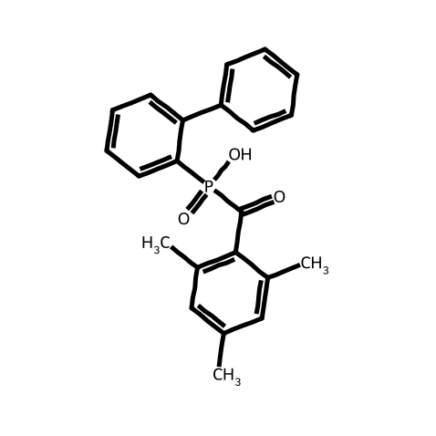 Cc1cc(C)c(C(=O)P(=O)(O)c2ccccc2-c2ccccc2)c(C)c1